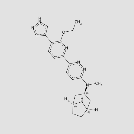 CCOc1nc(-c2ccc(N(C)[C@H]3C[C@H]4CC[C@@H](C3)N4)nn2)ccc1-c1cn[nH]c1